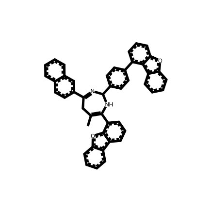 CC1=C(c2cccc3c2oc2ccccc23)NC(c2ccc(-c3cccc4oc5ccccc5c34)cc2)N=C(c2ccc3ccccc3c2)C1